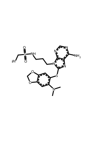 CC(C)CS(=O)(=O)NCCCn1c(Sc2cc3c(cc2N(C)C)OCO3)nc2c(N)ncnc21